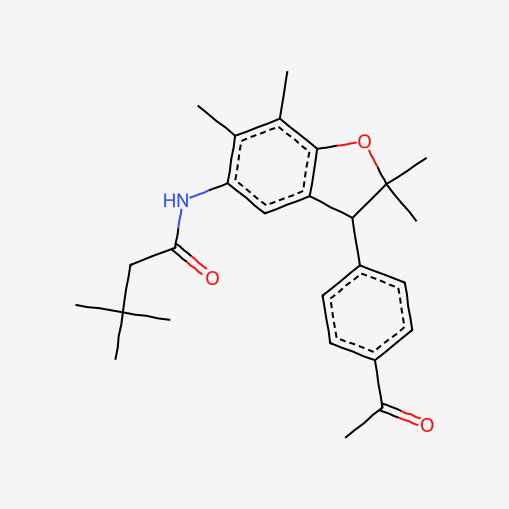 CC(=O)c1ccc(C2c3cc(NC(=O)CC(C)(C)C)c(C)c(C)c3OC2(C)C)cc1